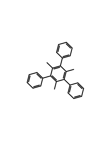 Cc1c(-c2ccccc2)c(C)c(-c2ccccc2)c(C)c1-c1ccccc1